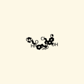 COc1ccc2c(O)cc3c(c2c1)C(CCl)CN3C(=O)c1cc2cc(NC(=O)CCN3CCOCC3)ccc2[se]1